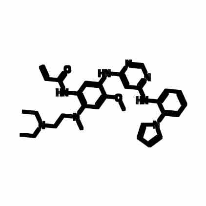 C=CC(=O)Nc1cc(Nc2cc(Nc3ccccc3-n3cccc3)ncn2)c(OC)cc1N(C)CCN(CC)CC